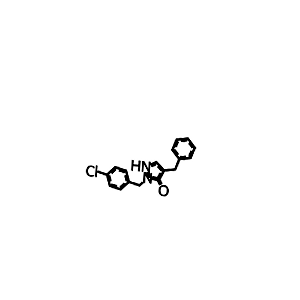 O=c1c(Cc2ccccc2)c[nH]n1Cc1ccc(Cl)cc1